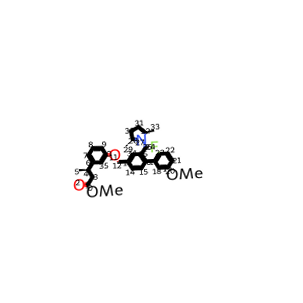 COC(=O)C[C@@H](C)c1cccc(OCc2ccc(-c3cc(OC)ccc3F)c(CN3[C@H](C)CC[C@H]3C)c2)c1